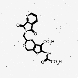 O=C(O)C(=O)Nc1sc2c(c1C(=O)O)CC(CN1C(=O)c3cccnc3C1=O)OC2